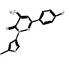 Cc1cc(-c2ccc(Cl)cc2)nn(-c2csc(Cl)c2)c1=O